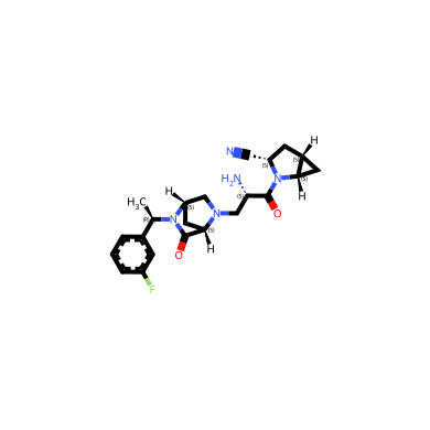 C[C@H](c1cccc(F)c1)N1C(=O)[C@@H]2C[C@H]1CN2C[C@H](N)C(=O)N1[C@H](C#N)C[C@@H]2C[C@@H]21